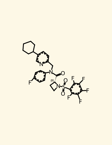 O=C([C@H]1CCN1S(=O)(=O)c1c(F)c(F)c(F)c(F)c1F)N(Cc1ccc(C2CCCCC2)cn1)c1ccc(F)cc1